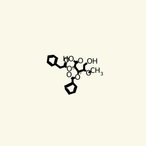 COC(CO)[C@@H](OC(=O)c1ccccc1)[C@H](OC(=O)Cc1ccccc1)C(=O)O